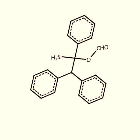 O=[C]OC([SiH3])([C](c1ccccc1)c1ccccc1)c1ccccc1